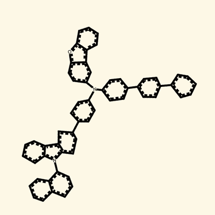 c1ccc(-c2ccc(-c3ccc(N(c4ccc(-c5ccc6c(c5)c5ccccc5n6-c5cccc6ccccc56)cc4)c4ccc5oc6ccccc6c5c4)cc3)cc2)cc1